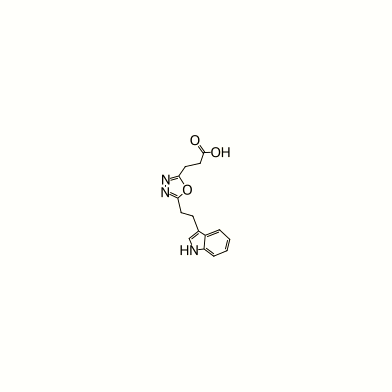 O=C(O)CCc1nnc(CCc2c[nH]c3ccccc23)o1